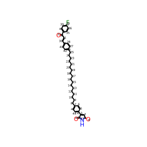 O=C1C=C(c2ccc(CCCCCCCCCCCCCCCCCCc3ccc(C=CC(=O)c4ccc(F)cc4)cc3)cc2)C(=O)N1